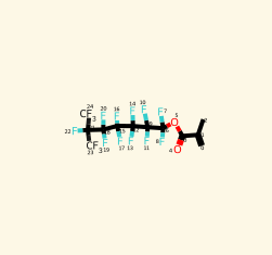 C=C(C)C(=O)OC(F)(F)C(F)(F)C(F)(F)C(F)(F)C(F)(F)C(F)(C(F)(F)F)C(F)(F)F